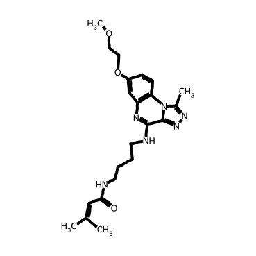 COCCOc1ccc2c(c1)nc(NCCCCNC(=O)C=C(C)C)c1nnc(C)n12